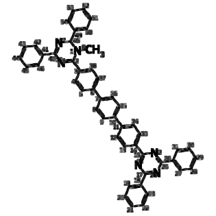 CN1C(c2ccc(-c3ccc(-c4ccc(-c5nc(-c6ccccc6)nc(-c6ccccc6)n5)cc4)cc3)cc2)=NC(c2ccccc2)=NC1c1ccccc1